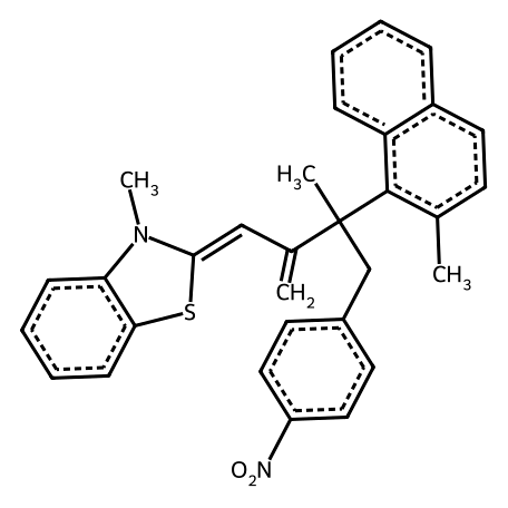 C=C(/C=C1\Sc2ccccc2N1C)C(C)(Cc1ccc([N+](=O)[O-])cc1)c1c(C)ccc2ccccc12